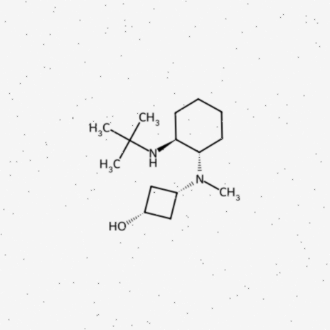 CN([C@H]1C[C@@H](O)C1)[C@H]1CCCC[C@@H]1NC(C)(C)C